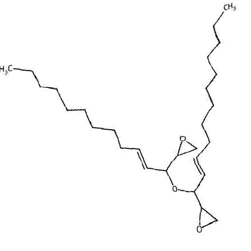 CCCCCCCCCC=CC(OC(C=CCCCCCCCCC)C1CO1)C1CO1